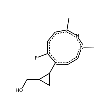 Cc1ccc(F)c(C2CC2CO)ccn(C)n1